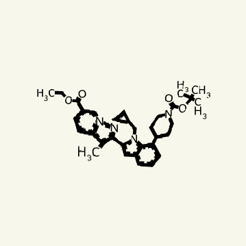 CCOC(=O)c1ccc2c(C)c(-c3cc4cccc(C5CCN(C(=O)OC(C)(C)C)CC5)c4n3CC3CC3)nn2c1